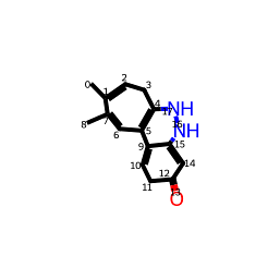 CC1=CCC2=C(C=C1C)C1=CCC(=O)C=C1NN2